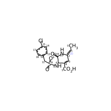 C/C=C1/C=C(C(=O)O)C(NS(=O)(=O)Cc2ccc(Cl)cc2)C(=O)N1